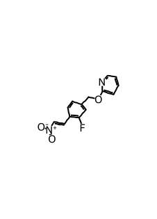 O=[N+]([O-])C=Cc1ccc(COc2ccccn2)cc1F